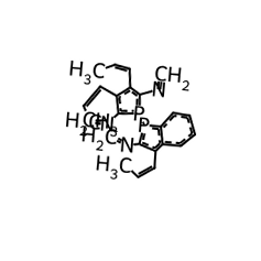 C=Nc1c(/C=C\C)c(/C=C\C)c(N=C)p1-p1c(N=C)c(/C=C\C)c2ccccc21